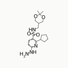 CC1(C)OCC(CNS(=O)(=O)c2ccc(NN)nc2C2CCCC2)CO1